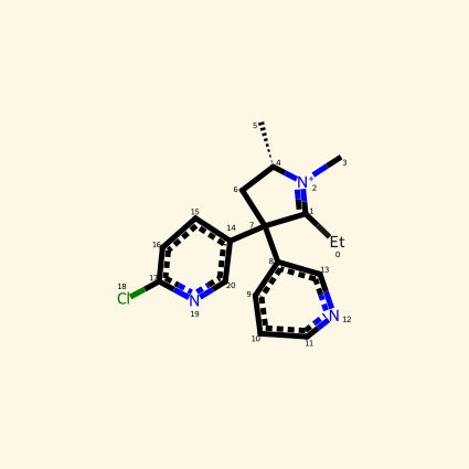 CCC1=[N+](C)[C@@H](C)CC1(c1cccnc1)c1ccc(Cl)nc1